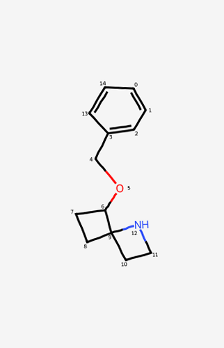 c1ccc(COC2CCC23CCN3)cc1